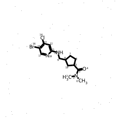 CN(C)C(=O)C1CCC(CNc2cc(Cl)c(Br)cn2)C1